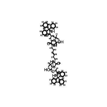 CC(C)(C)N(C(=O)O)[C@@H](CCC(=O)NC(c1ccccc1)(c1ccccc1)c1ccccc1)C(=O)NCC/C=C/CCNC(=O)[C@H](CCC(=O)NC(c1ccccc1)(c1ccccc1)c1ccccc1)N(C(=O)O)C(C)(C)C